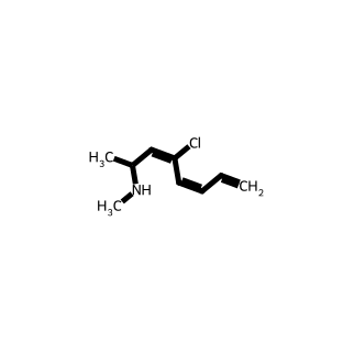 C=C/C=C\C(Cl)=C/C(C)NC